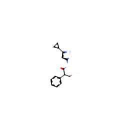 O=C(Nc1cc(C2CC2)[nH]n1)C(CO)c1ccccc1